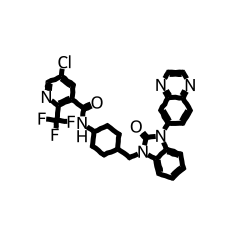 O=C(NC1CCC(Cn2c(=O)n(-c3ccc4nccnc4c3)c3ccccc32)CC1)c1cc(Cl)cnc1C(F)(F)F